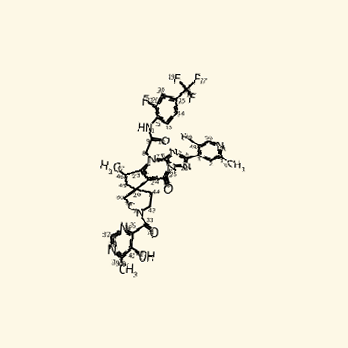 Cc1cc(-c2nc3n(CC(=O)Nc4ccc(C(F)(F)F)cc4F)c4c(c(=O)n3n2)C2(CCN(C(=O)c3ncnc(C)c3O)CC2)CC4C)c(F)cn1